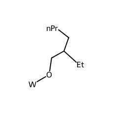 CCCCC(CC)C[O][W]